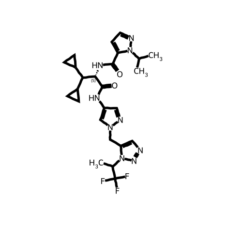 CC(C)n1nccc1C(=O)N[C@H](C(=O)Nc1cnn(Cc2cnnn2C(C)C(F)(F)F)c1)C(C1CC1)C1CC1